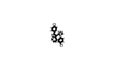 Clc1ccc(-c2nn3ncccc3c2-c2nncn2-c2ccc(Cl)cc2)cc1